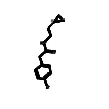 O=C(Cc1ccc(Br)cc1)NCC[C@@H]1CO1